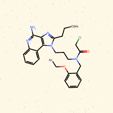 COCCc1nc2c(N)nc3ccccc3c2n1CCCN(Cc1ccccc1OCC(C)=O)C(=O)CCl